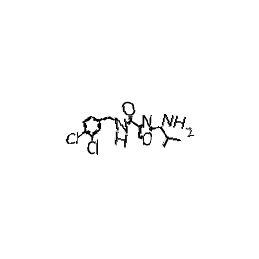 CC(C)[C@@H](N)c1nc(C(=O)NCc2ccc(Cl)c(Cl)c2)co1